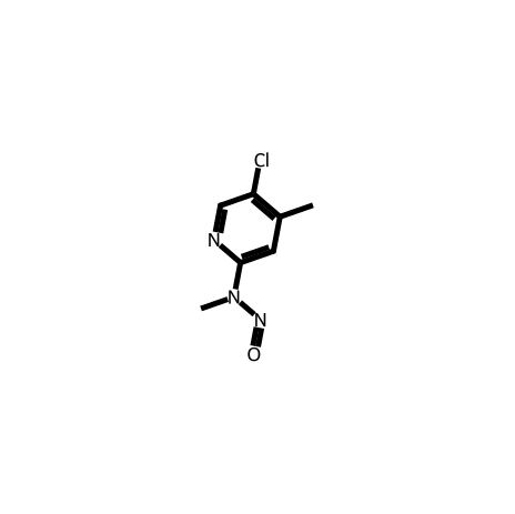 Cc1cc(N(C)N=O)ncc1Cl